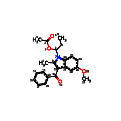 CCC(OC(C)=O)n1c(C)c(C(=O)c2ccccc2)c2cc(OC)ccc21